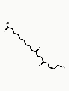 CC/C=C\CC(=O)CCC(=O)CCCCCCCCC(=O)O